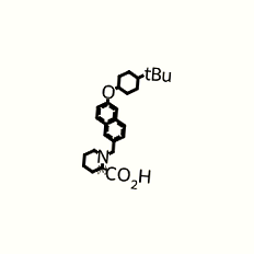 CC(C)(C)C1CCC(Oc2ccc3cc(CN4CCCC[C@@H]4C(=O)O)ccc3c2)CC1